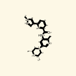 Cc1ncc(N2C[C@@H](C)O[C@@H](C)C2)cc1NC(=O)c1cccc(-c2cnn(C)c2)n1